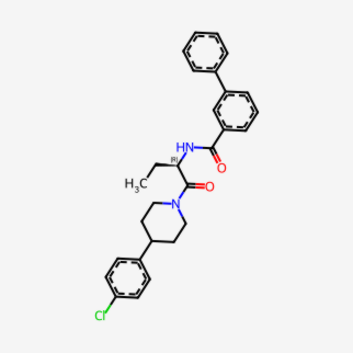 CC[C@@H](NC(=O)c1cccc(-c2ccccc2)c1)C(=O)N1CCC(c2ccc(Cl)cc2)CC1